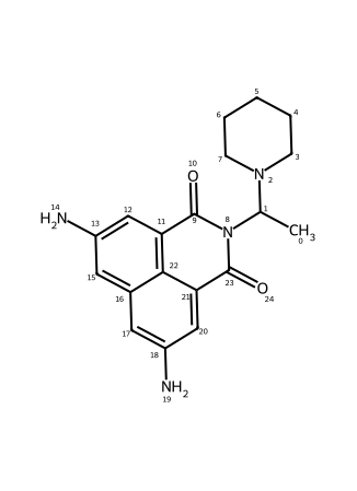 CC(N1CCCCC1)N1C(=O)c2cc(N)cc3cc(N)cc(c23)C1=O